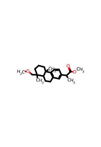 COCC1(C)CCCC2(C)c3ccc(C(C)C(=O)OC)cc3CCC12